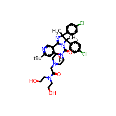 CCOc1cc(C(C)(C)C)ncc1C1=NC(C)(c2ccc(Cl)cc2)C(C)(c2ccc(Cl)cc2)N1C(=O)N1CCN(CC(=O)N(CCO)CCO)CC1